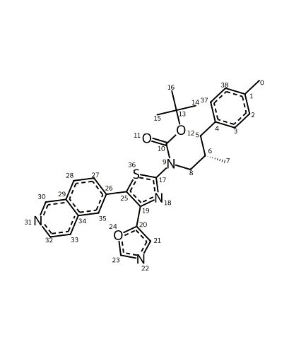 Cc1ccc(C[C@H](C)CN(C(=O)OC(C)(C)C)c2nc(-c3cnco3)c(-c3ccc4cnccc4c3)s2)cc1